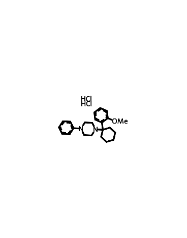 COc1ccccc1C1(N2CCN(c3ccccc3)CC2)CCCCC1.Cl.Cl